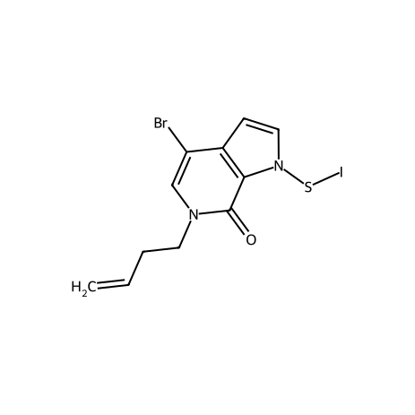 C=CCCn1cc(Br)c2ccn(SI)c2c1=O